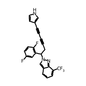 Fc1ccc(F)c(C(CC#CC#Cc2cc[nH]c2)n2cc3cccc(C(F)(F)F)c3n2)c1